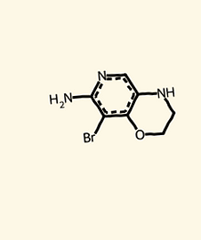 Nc1ncc2c(c1Br)OCCN2